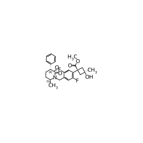 COC(=O)[C@]1(c2cc(F)c(CN3[C@@H](C)CC[C@H](c4ccccc4)S3(=O)=O)cc2F)C[C@](C)(O)C1